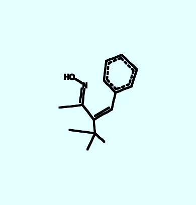 CC(=NO)C(=Cc1ccccc1)C(C)(C)C